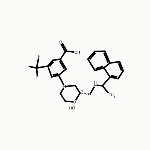 CC(NC[C@H]1CN(c2cc(C(=O)O)cc(C(F)(F)F)c2)CCO1)c1cccc2ccccc12.Cl